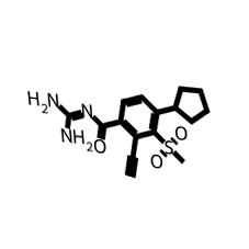 C#Cc1c(C(=O)N=C(N)N)ccc(C2CCCC2)c1S(C)(=O)=O